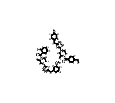 CCc1ccc(C(=O)N2CCN(c3nc(Cc4ccc(F)cc4)ns3)CC2C)cc1.COc1cccc(Cc2nsc(N3CCN(C(=O)c4ccccc4F)C(C)C3)n2)c1